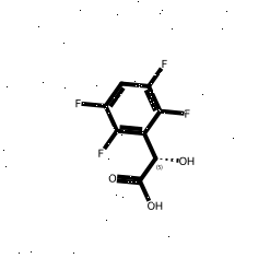 O=C(O)[C@@H](O)c1c(F)c(F)cc(F)c1F